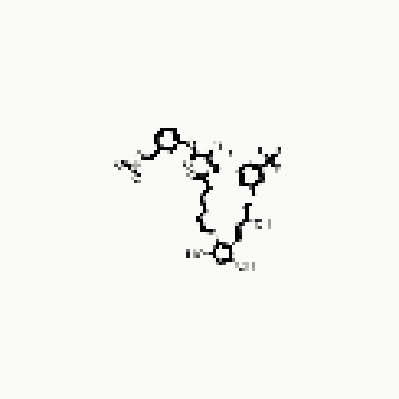 CC(NC(=O)CCC/C=C\C[C@@H]1[C@@H](/C=C/[C@@H](O)COc2cccc(C(F)(F)F)c2)[C@H](O)C[C@@H]1O)C(=O)Oc1cccc(CO[N+](=O)[O-])c1